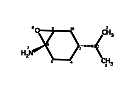 CC(C)[C@@H]1CC[C@]2(N)OC2C1